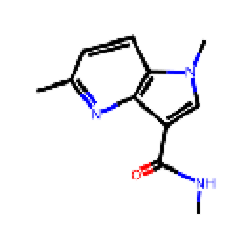 CNC(=O)c1cn(C)c2ccc(C)nc12